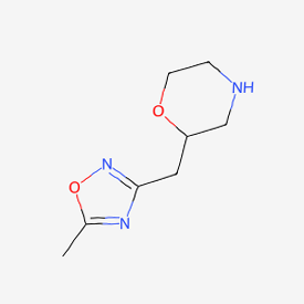 Cc1nc(CC2CNCCO2)no1